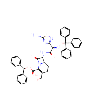 Nc1nc(/C(=N\OC(c2ccccc2)(c2ccccc2)c2ccccc2)C(=O)N[C@@H]2C(=O)N3C(C(=O)OC(c4ccccc4)c4ccccc4)=C(CO)CCC23)ns1